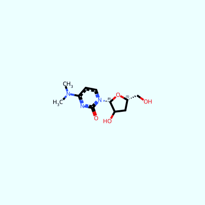 CN(C)c1ccn([C@@H]2O[C@H](CO)CC2O)c(=O)n1